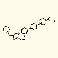 CN1CCN(c2ccc(-c3ccc4c(c3)OCc3nc(CN5CCCCC5)cn3-4)cc2)CC1